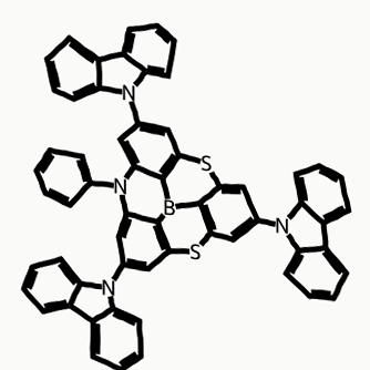 c1ccc(N2c3cc(-n4c5ccccc5c5ccccc54)cc4c3B3c5c(cc(-n6c7ccccc7c7ccccc76)cc5Sc5cc(-n6c7ccccc7c7ccccc76)cc2c53)S4)cc1